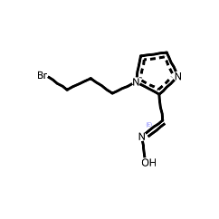 O/N=C/c1nccn1CCCBr